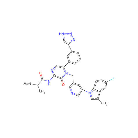 CNC(C)C(=O)Nc1ncc(-c2cccc(-c3c[nH]nn3)c2)n(Cc2cncc(-n3cc(C)c4cc(F)ccc43)c2)c1=O